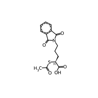 CC(=O)S[C@@H](CCCN1C(=O)c2ccccc2C1=O)C(=O)O